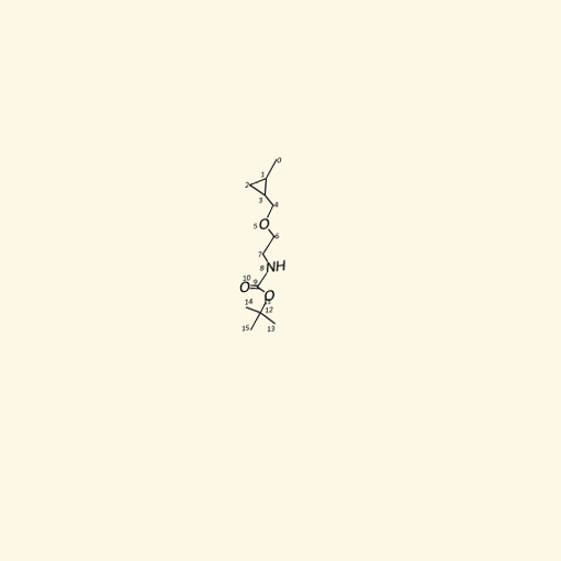 CC1CC1COCCNC(=O)OC(C)(C)C